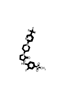 CS(=O)(=O)c1ccc(N[C@H]2CCN(C3CCN(c4ccc(C(F)(F)F)cn4)CC3)C2=O)c(F)c1